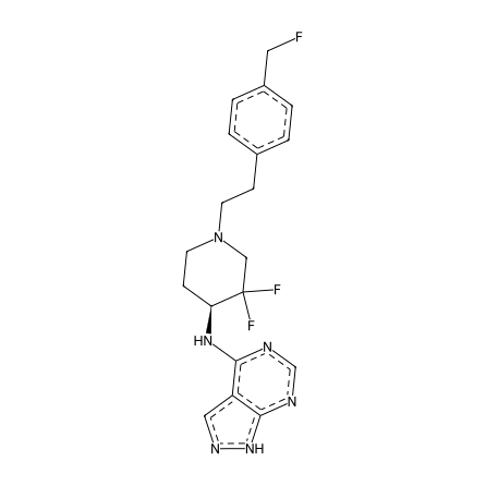 FCc1ccc(CCN2CC[C@H](Nc3ncnc4[nH]ncc34)C(F)(F)C2)cc1